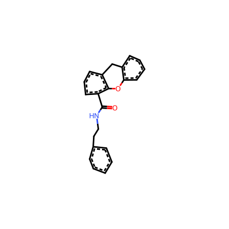 O=C(NCCc1ccccc1)c1cccc2c1Oc1ccccc1C2